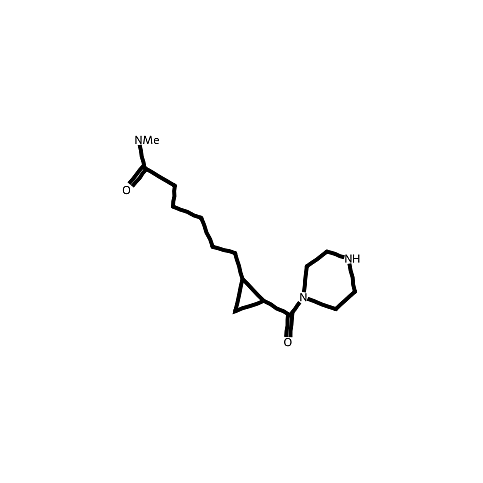 CNC(=O)CCCCCC1CC1C(=O)N1CCNCC1